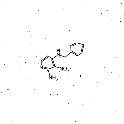 Nc1nccc(NCc2ccccc2)c1[N+](=O)[O-]